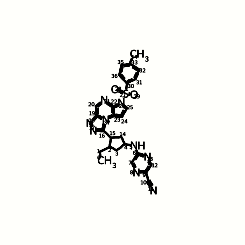 CCC1CC(Nc2cnc(C#N)cn2)CC1c1nnc2cnc3c(ccn3S(=O)(=O)c3ccc(C)cc3)n12